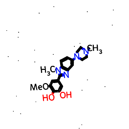 COc1cc(-c2nc3cc(N4CCN(C)CC4)ccc3n2C)cc(O)c1O